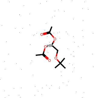 CC(=O)O[SiH](COC(C)(C)C)OC(C)=O